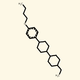 CCCCOc1ccc(C2CCC(C3CCC(CC)CC3)CC2)cc1